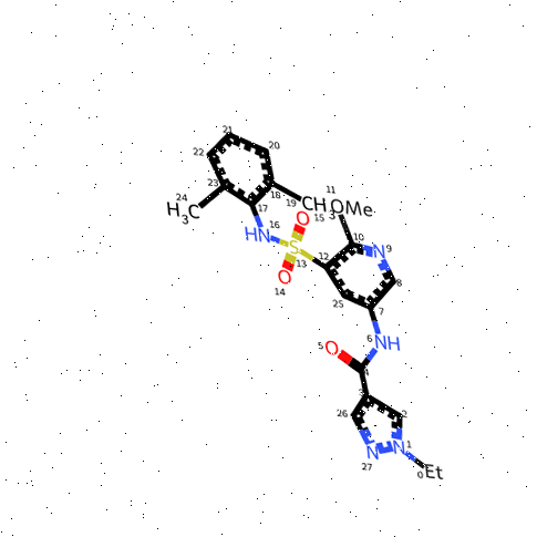 CCn1cc(C(=O)Nc2cnc(OC)c(S(=O)(=O)Nc3c(C)cccc3C)c2)cn1